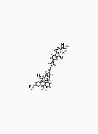 CC(C)(C(=O)Nc1ccc(C(F)(F)F)cc1N1CCc2ccccc21)n1cc(C#CC2CN(c3ccc4c(c3)C(=O)N(C3CCC(=O)NC3=O)C4=O)C2)cn1